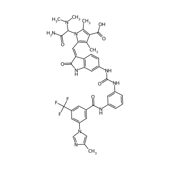 Cc1cn(-c2cc(C(=O)Nc3cccc(NC(=O)Nc4ccc5c(c4)NC(=O)C5=Cc4c(C)c(C(=O)O)c(C)n4C(C(N)=O)N(C)C)c3)cc(C(F)(F)F)c2)cn1